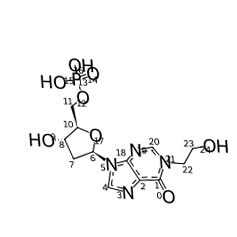 O=c1c2ncn([C@H]3C[C@H](O)[C@@H](COP(=O)(O)O)O3)c2ncn1CCO